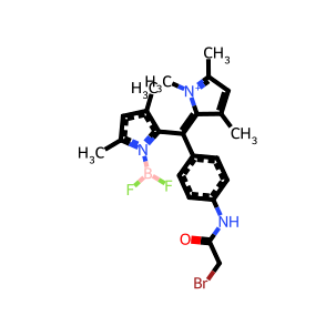 CC1=CC(C)=[N+](C)/C1=C(/c1ccc(NC(=O)CBr)cc1)c1c(C)cc(C)n1B(F)F